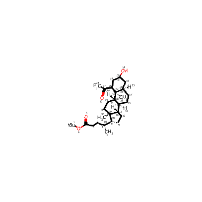 C[C@H](CCC(=O)OC(C)(C)C)[C@H]1CC[C@H]2[C@@H]3CC[C@@H]4C[C@H](O)CC(C(=O)C(F)(F)F)[C@]4(C)[C@H]3CC[C@]12C